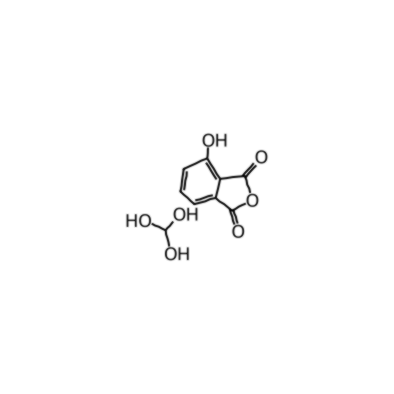 O=C1OC(=O)c2c(O)cccc21.OC(O)O